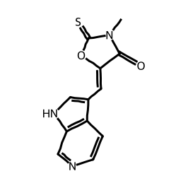 CN1C(=O)/C(=C/c2c[nH]c3cnccc23)OC1=S